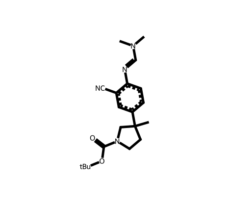 CN(C)C=Nc1ccc(C2(C)CCN(C(=O)OC(C)(C)C)C2)cc1C#N